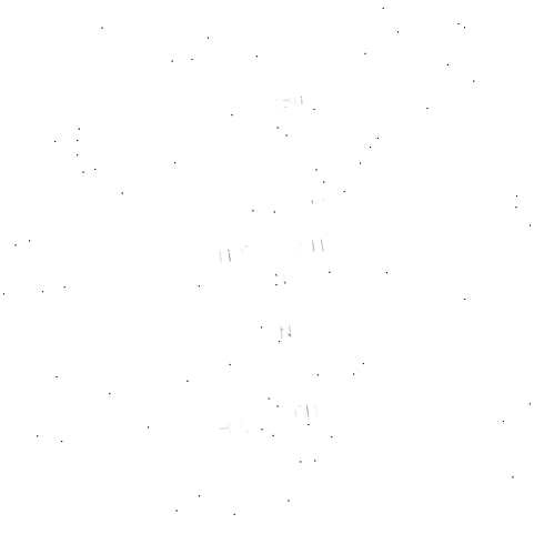 CN(C)CCN1CCN(C(C)(C)CC2OCC23CCN(C(C)(C)C)C3)CC1